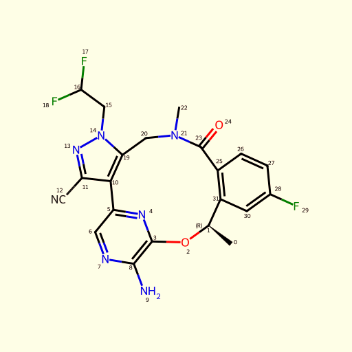 C[C@H]1Oc2nc(cnc2N)-c2c(C#N)nn(CC(F)F)c2CN(C)C(=O)c2ccc(F)cc21